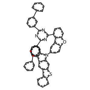 c1ccc(-c2ccc(-c3nc(-c4cccc(-c5ccccc5)c4)nc(-c4cccc5oc6ccc(-n7c8ccccc8c8cc9c(cc87)sc7ccccc79)cc6c45)n3)cc2)cc1